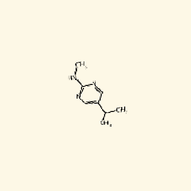 CNc1ncc(C(C)C)cn1